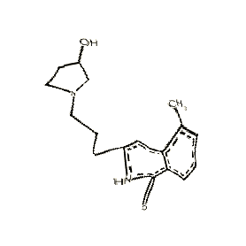 Cc1cccc2c(=O)[nH]c(CCCN3CCC(O)C3)cc12